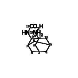 NC12CC3CC(CC(C3)C1NC(=O)O)C2